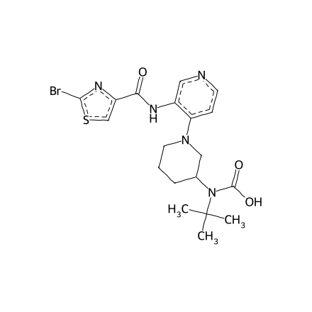 CC(C)(C)N(C(=O)O)C1CCCN(c2ccncc2NC(=O)c2csc(Br)n2)C1